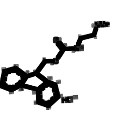 CNCCNC(=O)OCC1c2ccccc2-c2ccccc21.Cl